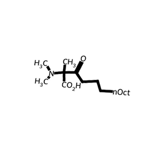 CCCCCCCCCCCC(=O)C(C)(C(=O)O)N(C)C